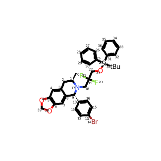 C[C@@H]1Cc2cc3c(cc2[C@@H](c2ccc(Br)cc2)N1CC(F)(F)CO[Si](c1ccccc1)(c1ccccc1)C(C)(C)C)OCO3